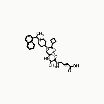 CC(NC(=O)CN(C(=O)C1CCC1)C1CCN(C(C)c2cccc3ccccc23)CC1)C(=O)NC/C=C/C(=O)O